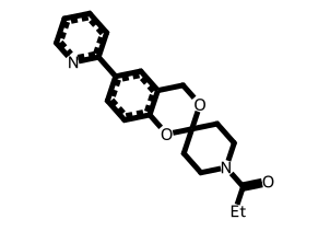 CCC(=O)N1CCC2(CC1)OCc1cc(-c3ccccn3)ccc1O2